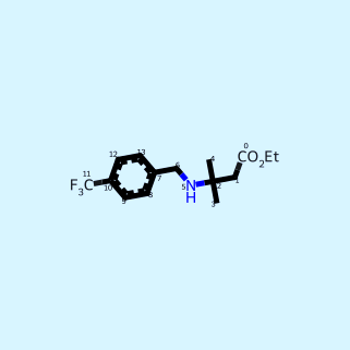 CCOC(=O)CC(C)(C)NCc1ccc(C(F)(F)F)cc1